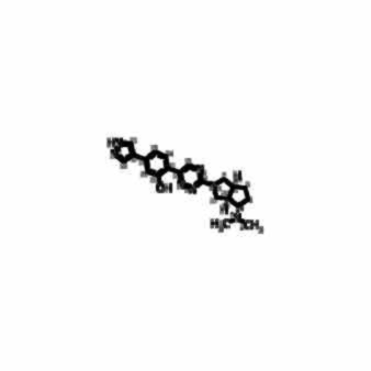 CN(C)[C@H]1CC[C@@H]2CN(c3ncc(-c4ccc(-c5cn[nH]c5)cc4O)nn3)C[C@@H]21